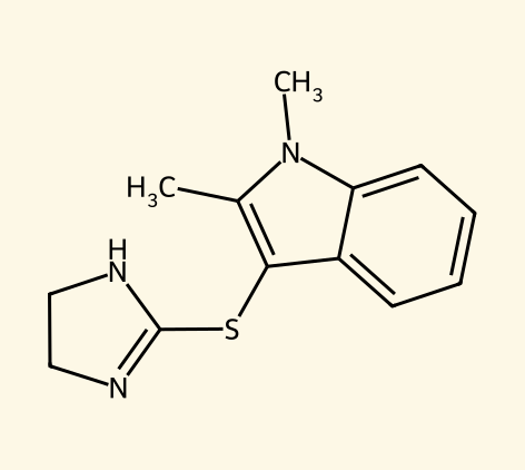 Cc1c(SC2=NCCN2)c2ccccc2n1C